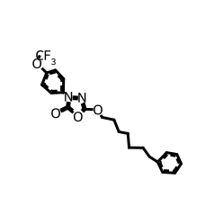 O=c1oc(OCCCCCCCc2ccccc2)nn1-c1ccc(OC(F)(F)F)cc1